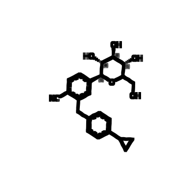 N#Cc1ccc([C@@H]2OC(CO)[C@@H](O)[C@H](O)[C@H]2O)cc1Cc1ccc(C2CC2)cc1